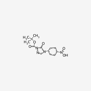 CC(C)(C)OC(=O)n1ncn(-c2ccc([N+](=O)O)cc2)c1=O